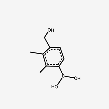 Cc1c(CO)ccc(B(O)O)c1C